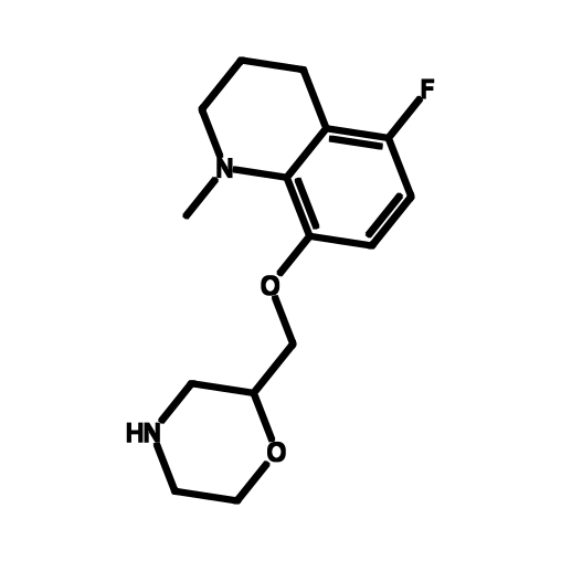 CN1CCCc2c(F)ccc(OCC3CNCCO3)c21